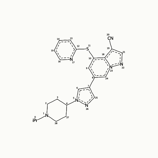 CC(C)N1CCC(n2cc(-c3cc(Sc4ccccn4)c4c(C#N)cnn4c3)cn2)CC1